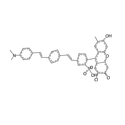 Cc1cc2c(-c3ccc(/C=C/c4ccc(/C=C/c5ccc(N(C)C)cc5)cc4)cc3S(=O)(=O)O)c3cc(Cl)c(=O)cc-3oc2cc1O